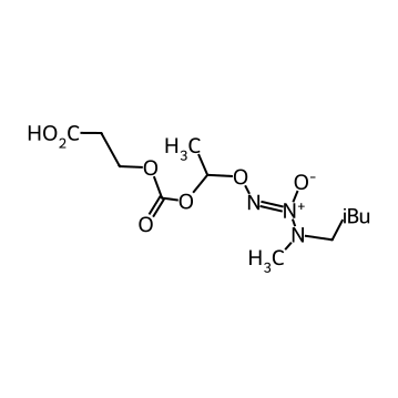 CCC(C)CN(C)[N+]([O-])=NOC(C)OC(=O)OCCC(=O)O